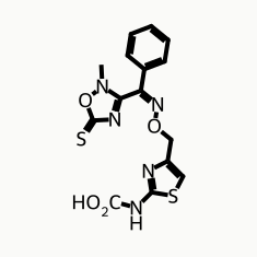 Cn1oc(=S)nc1/C(=N\OCc1csc(NC(=O)O)n1)c1ccccc1